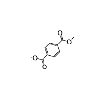 COC(=O)c1ccc(C([O])=O)cc1